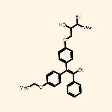 CCC(=C(c1ccc(OCOC)cc1)c1ccc(OCC(O)C(CC)NC)cc1)c1ccccc1